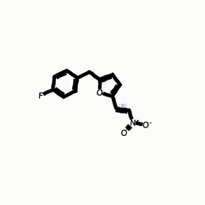 O=[N+]([O-])/C=C/c1ccc(Cc2ccc(F)cc2)o1